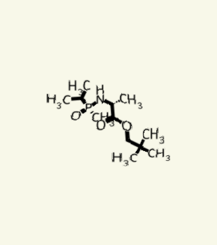 CC(C)P(C)(=O)N[C@H](C)C(=O)OCC(C)(C)C